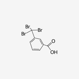 O=C(O)c1cccc(C(Br)(Br)Br)c1